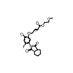 COCCOC(=O)/C=C/COc1cc(N2C(=O)C3CCCCC3C2=O)c(F)cc1Cl